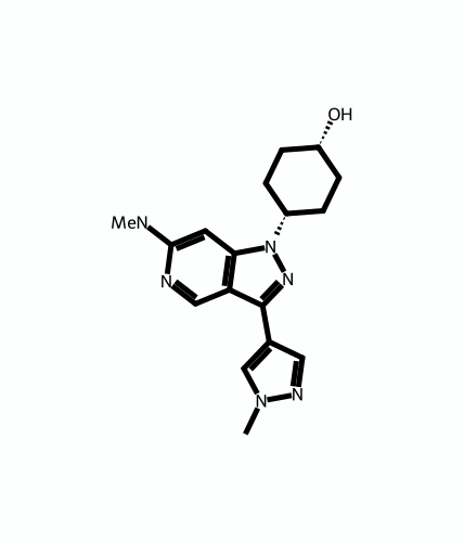 CNc1cc2c(cn1)c(-c1cnn(C)c1)nn2[C@H]1CC[C@@H](O)CC1